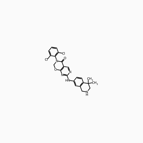 CC1(C)CNCc2cc(Nc3ncc4c(n3)OCN(c3c(Cl)cccc3Cl)C4=O)ccc21